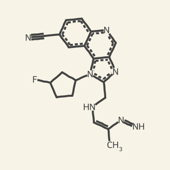 C/C(=C/NCc1nc2cnc3ccc(C#N)cc3c2n1C1CCC(F)C1)N=N